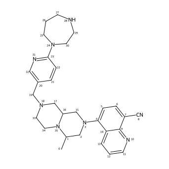 CC1CN(c2ccc(C#N)c3ncccc23)CC2CN(Cc3ccc(N4CCCNCC4)nc3)CCN12